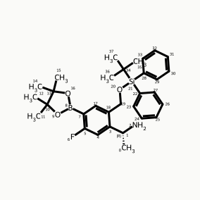 C[C@@H](N)c1cc(F)c(B2OC(C)(C)C(C)(C)O2)cc1CO[Si](c1ccccc1)(c1ccccc1)C(C)(C)C